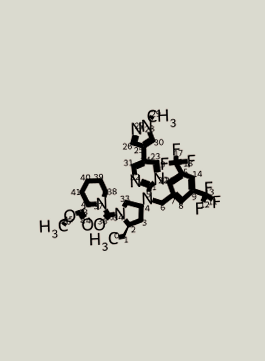 CC[C@@H]1C[C@H](N(Cc2cc(C(F)(F)F)cc(C(F)(F)F)c2)c2ncc(-c3cnn(C)c3)cn2)CN1C(=O)N1CCCC[C@H]1C(=O)OC